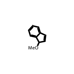 COC1C=Cc2c[c]ccc21